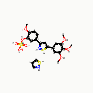 COc1ccc(-c2cc(-c3cc(OC)c(OC)c(OC)c3)sn2)cc1OS(=O)(=O)O.c1cnsc1